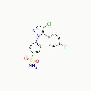 NS(=O)(=O)c1ccc(-n2ncc(Cl)c2-c2ccc(F)cc2)cc1